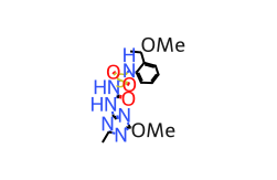 COc1nc(C)nc(NC(=O)NS(=O)(=O)Nc2ccccc2C(C)OC)n1